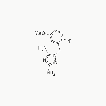 COc1ccc(F)c(Cn2nc(N)nc2N)c1